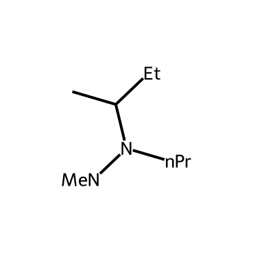 [CH2]NN(CCC)C(C)CC